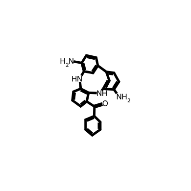 Nc1ccc2cc1Nc1cccc(C(=O)c3ccccc3)c1Nc1cc-2ccc1N